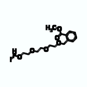 COC(=O)c1ccccc1COCCOCCOCCOPI